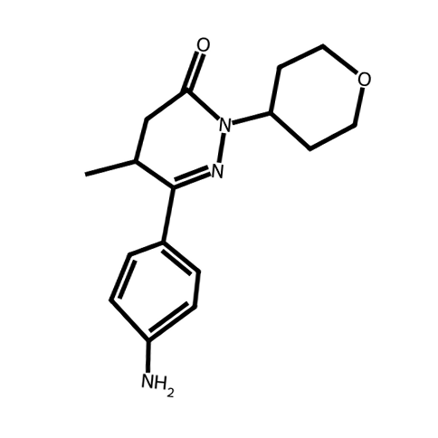 CC1CC(=O)N(C2CCOCC2)N=C1c1ccc(N)cc1